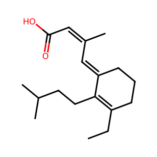 CCC1=C(CCC(C)C)C(=C/C(C)=C\C(=O)O)CCC1